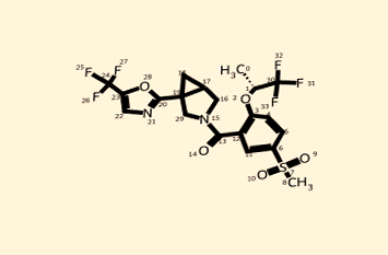 C[C@@H](Oc1ccc(S(C)(=O)=O)cc1C(=O)N1CC2CC2(c2ncc(C(F)(F)F)o2)C1)C(F)(F)F